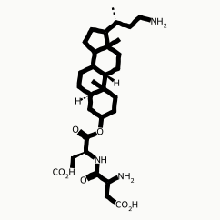 C[C@H](CCN)C1CCC2C3CC[C@@H]4CC(OC(=O)[C@H](CC(=O)O)NC(=O)C(N)CC(=O)O)CCC4(C)[C@H]3CCC21C